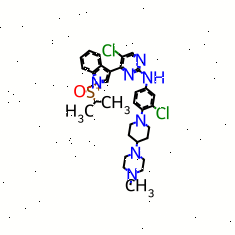 CC(C)[S+]([O-])n1cc(-c2nc(Nc3ccc(N4CCC(N5CCN(C)CC5)CC4)c(Cl)c3)ncc2Cl)c2ccccc21